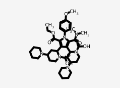 CCOC(=O)c1c(C2CC(N3CCCCC3)CCN2C(=O)O)c(C2CC(N3CCCCC3)CCN2C(=O)O)c(C(=O)N(C)C)n1-c1ccc(OC)cc1